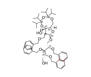 CC(C)[Si]1(C(C)C)OC[C@H]2O[C@@H](OC[C@H](OCc3ccccc3)[C@H](OCc3ccccc3)[C@@H](CO)OCc3ccccc3)[C@@](O)(COCc3ccccc3)[C@@H]2O[Si](C(C)C)(C(C)C)O1